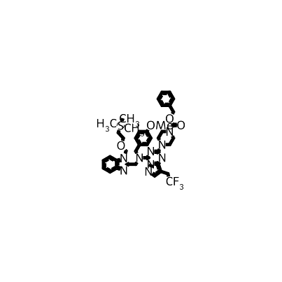 COc1ccc(CN(Cc2nc3ccccc3n2COCCS(C)(C)C)c2nc(N3CCN(C(=O)OCc4ccccc4)CC3)nc3c(CC(F)(F)F)cnn23)cc1